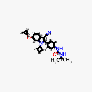 CC(C)NC(=O)Nc1ccc(-c2c(C#N)c3ccc(OC4CC4)cc3n2C2CCC2)cc1